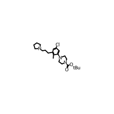 Cc1c(CCCN2CCCC2)cc(Cl)cc1N1CCN(C(=O)OC(C)(C)C)CC1